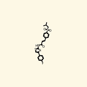 CC(C)CS(=O)(=O)c1ccc(C=CC(=O)Nc2nc(-c3ccc(F)cc3)cs2)cc1